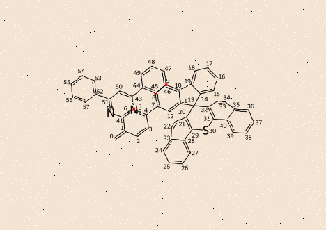 C=C(/C=C\C(=C/C)c1ccc2c(c1)C1(c3ccccc3-2)c2ccc3ccccc3c2Sc2c1ccc1ccccc21)c1nc(-c2ccccc2)cc(-c2ccccc2)n1